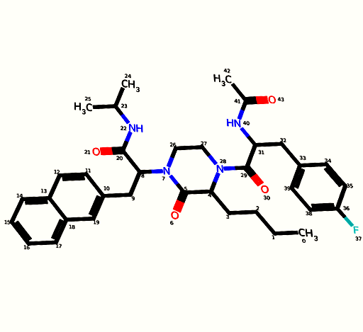 CCCCC1C(=O)N(C(Cc2ccc3ccccc3c2)C(=O)NC(C)C)CCN1C(=O)C(Cc1ccc(F)cc1)NC(C)=O